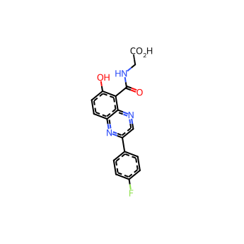 O=C(O)CNC(=O)c1c(O)ccc2nc(-c3ccc(F)cc3)cnc12